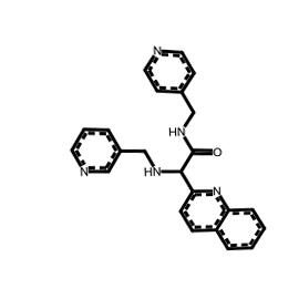 O=C(NCc1ccncc1)C(NCc1cccnc1)c1ccc2ccccc2n1